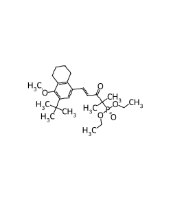 CCOP(=O)(OCC)C(C)(C)C(=O)C=Cc1cc(C(C)(C)C)c(OC)c2c1CCCC2